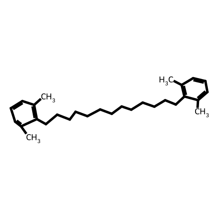 Cc1cccc(C)c1CCCCCCCCCCCCCc1c(C)cccc1C